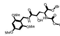 COc1cc(OC)c(CNC(=O)[C@@H](O)C[C@H](NC(=O)OC(C)(C)C)C(=O)OC(C)(C)C)c(OC)c1